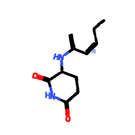 C=C(/C=C\CC)NC1CCC(=O)NC1=O